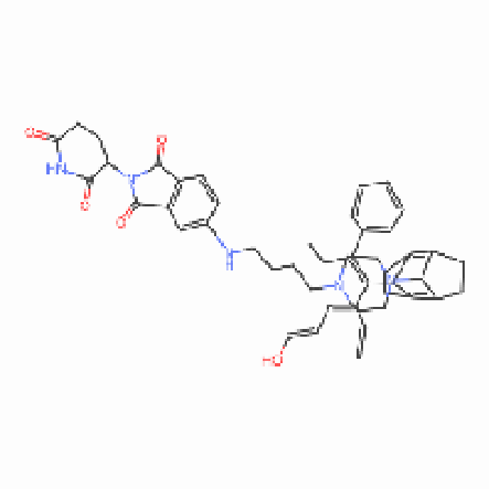 C=CC(=C\C=C\O)/C(=C(\CC)c1ccccc1)C1C2=C3CCC(=C1CC2)C3N1CCN(CCCCNc2ccc3c(c2)C(=O)N(C2CCC(=O)NC2=O)C3=O)CC1